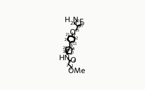 COCCC(=O)NC12CCC(c3ccc(OCC(=CF)CN)cc3)(CC1)CC2